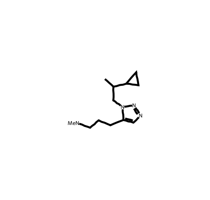 CNCCCc1cnnn1CC(C)C1CC1